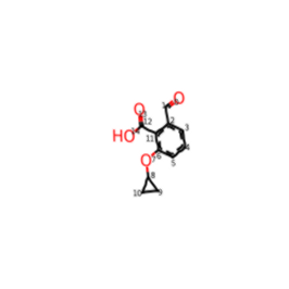 O=Cc1cccc(OC2CC2)c1C(=O)O